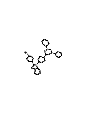 [2H]c1ccc(-c2nc3ccccc3n2-c2ccc(-c3cc(-c4ccccc4)cc(-c4ccccc4)n3)cc2)cc1